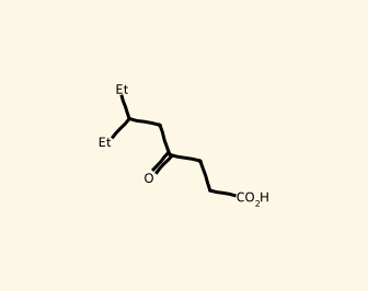 CCC(CC)CC(=O)CCC(=O)O